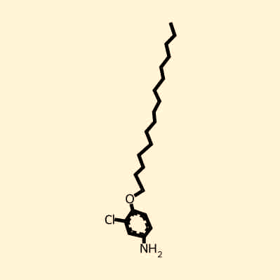 CCCCCCCCCCCCCCCCOc1ccc(N)cc1Cl